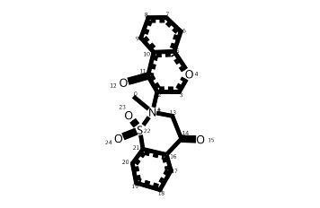 C[N+]1(c2coc3ccccc3c2=O)CC(=O)c2ccccc2S1(=O)=O